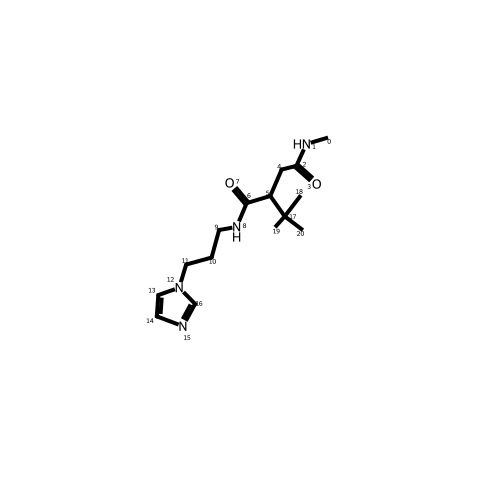 CNC(=O)CC(C(=O)NCCCn1ccnc1)C(C)(C)C